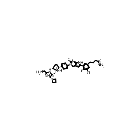 C[C@H](N)CCCc1cc(Cl)c(F)c(-c2cc3cn(-c4ccc([C@@H]5CCC[C@@H](C[C@@H](CN6CCC6)NC(=N)CN)N5)cc4)c(=O)nc3[nH]2)c1